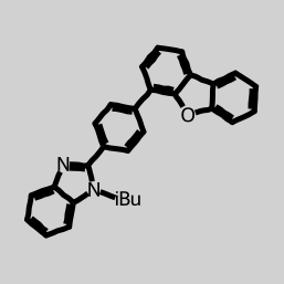 CCC(C)n1c(-c2ccc(-c3cccc4c3oc3ccccc34)cc2)nc2ccccc21